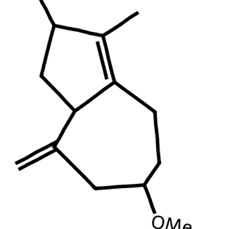 C=C1CC(OC)CCC2=C(C)C(C)CC12